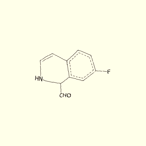 O=CC1NC=Cc2ccc(F)cc21